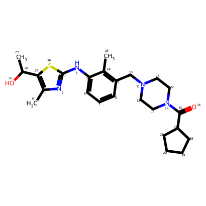 Cc1nc(Nc2cccc(CN3CCN(C(=O)C4CCCC4)CC3)c2C)sc1C(C)O